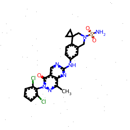 Cc1nn(-c2c(Cl)cccc2Cl)c(=O)c2cnc(Nc3ccc4c(c3)CN(S(N)(=O)=O)CC43CC3)nc12